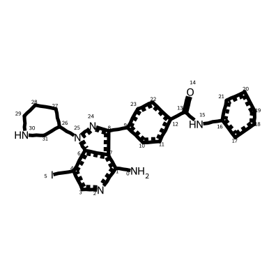 Nc1ncc(I)c2c1c(-c1ccc(C(=O)Nc3ccccc3)cc1)nn2C1CCCNC1